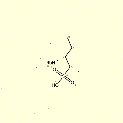 CCCCS(=O)(=O)O.[RbH]